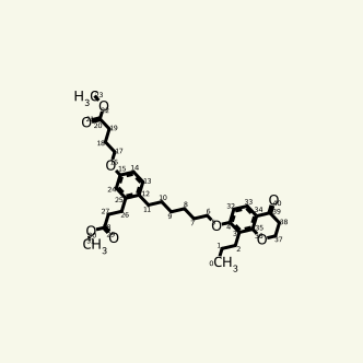 CCCc1c(OCCCCCCc2ccc(OCCCC(=O)OC)cc2CCC(=O)OC)ccc2c1OCCC2=O